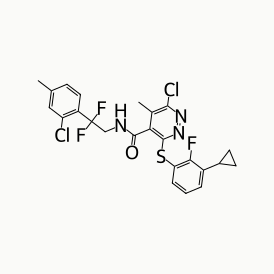 Cc1ccc(C(F)(F)CNC(=O)c2c(Sc3cccc(C4CC4)c3F)nnc(Cl)c2C)c(Cl)c1